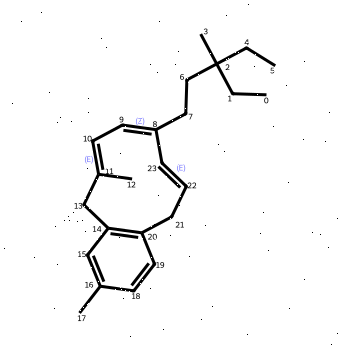 CCC(C)(CC)CCC1=C/C=C(\C)Cc2cc(C)ccc2C\C=C\1